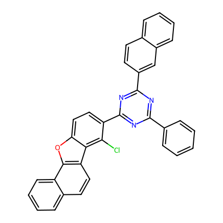 Clc1c(-c2nc(-c3ccccc3)nc(-c3ccc4ccccc4c3)n2)ccc2oc3c4ccccc4ccc3c12